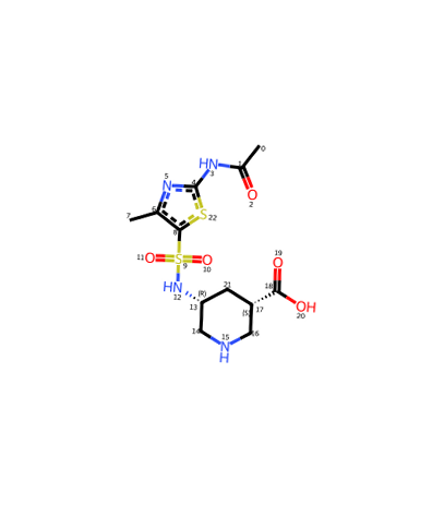 CC(=O)Nc1nc(C)c(S(=O)(=O)N[C@H]2CNC[C@@H](C(=O)O)C2)s1